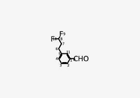 O=Cc1cccc(CCC(F)F)c1